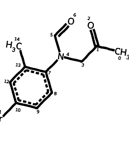 CC(=O)CN(C=O)c1ccc(Br)cc1C